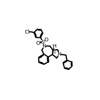 O=S(=O)(c1cccc(Cl)c1)N1Cc2ccccc2C2CN(Cc3ccccc3)C[C@H]2C1